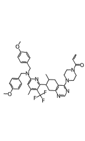 C=CC(=O)N1CCN(c2ncnc3c2CC(C)C(c2nc(N(Cc4ccc(OC)cc4)Cc4ccc(OC)cc4)cc(C)c2C(F)(F)F)C3)CC1